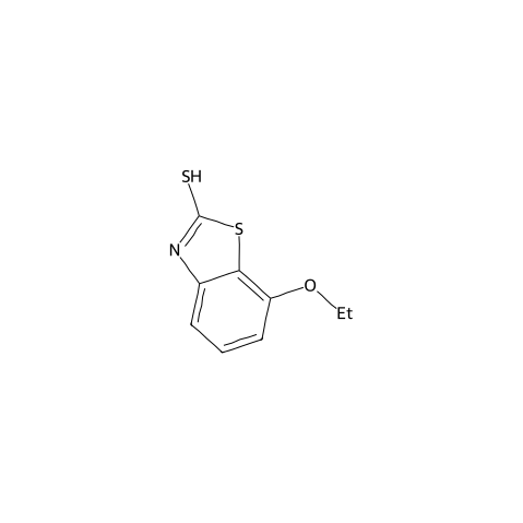 CCOc1cccc2nc(S)sc12